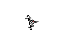 O=C(Nc1ccc(/C=C/c2ccc(NC(=O)c3ccccc3)cc2S(=O)(=O)[O-])c(S(=O)(=O)[O-])c1)c1ccccc1.[Na+].[Na+]